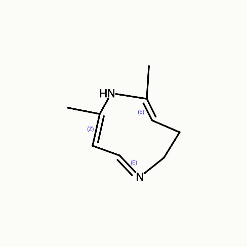 C/C1=C/C=N/CC/C=C(\C)N1